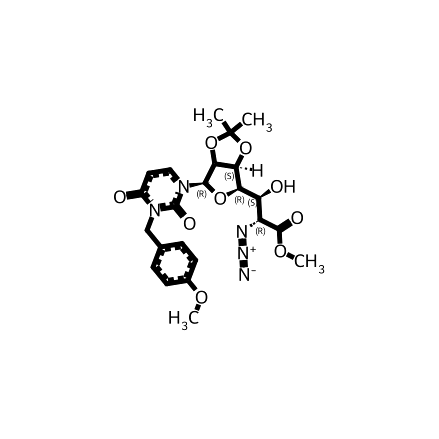 COC(=O)[C@H](N=[N+]=[N-])[C@H](O)[C@H]1O[C@@H](n2ccc(=O)n(Cc3ccc(OC)cc3)c2=O)C2OC(C)(C)O[C@H]21